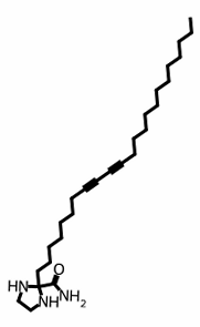 CCCCCCCCCCCCC#CC#CCCCCCCCC1(C(N)=O)NCCN1